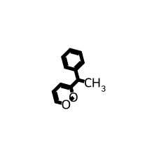 CC(C1=CC=COO1)c1ccccc1